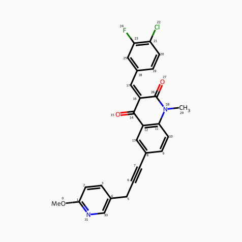 COc1ccc(CC#Cc2ccc3c(c2)C(=O)/C(=C/c2ccc(Cl)c(F)c2)C(=O)N3C)cn1